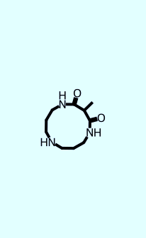 CC1C(=O)NCCCNCCCNC1=O